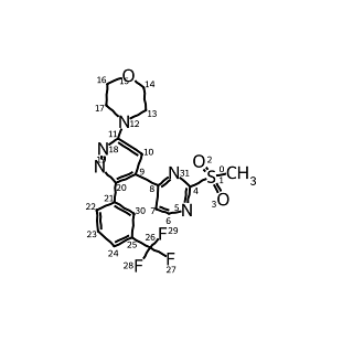 CS(=O)(=O)c1nccc(-c2cc(N3CCOCC3)nnc2-c2cccc(C(F)(F)F)c2)n1